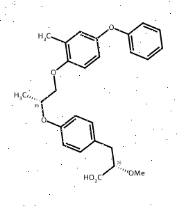 CO[C@@H](Cc1ccc(O[C@H](C)COc2ccc(Oc3ccccc3)cc2C)cc1)C(=O)O